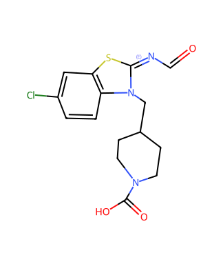 O=C/N=c1/sc2cc(Cl)ccc2n1CC1CCN(C(=O)O)CC1